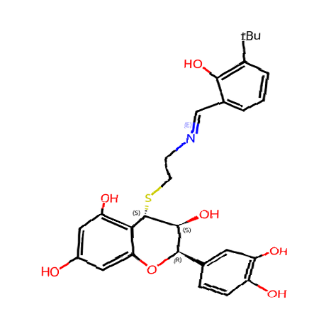 CC(C)(C)c1cccc(/C=N/CCS[C@H]2c3c(O)cc(O)cc3O[C@H](c3ccc(O)c(O)c3)[C@@H]2O)c1O